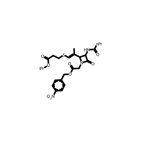 CCCC(=O)NC1C(=O)N(CC(=O)OCc2ccc([N+](=O)[O-])cc2)C1C(C)=CSCCC(=O)OC(C)C